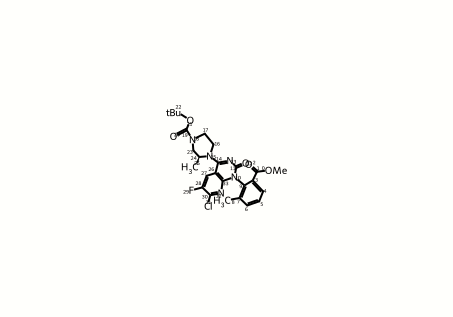 COC(=O)c1cccc(C)c1-n1c(=O)nc(N2CCN(C(=O)OC(C)(C)C)C[C@@H]2C)c2cc(F)c(Cl)nc21